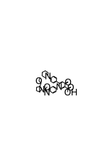 COCC1CCCN1c1nc2ccc(-n3cc(C(=O)O)c(=O)cc3-c3ccc(N4CCCCC4)cc3)cc2o1